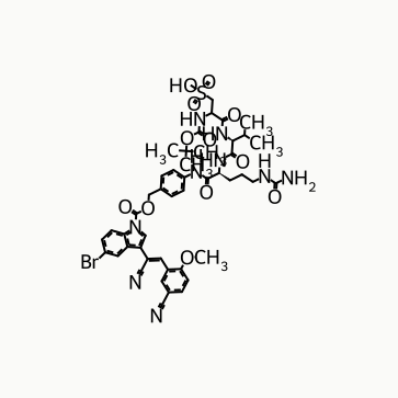 COc1ccc(C#N)cc1/C=C(\C#N)c1cn(C(=O)OCc2ccc(NC(=O)[C@H](CCCNC(N)=O)NC(=O)[C@@H](NC(=O)C(CS(=O)(=O)O)NC(=O)OC(C)(C)C)C(C)C)cc2)c2ccc(Br)cc12